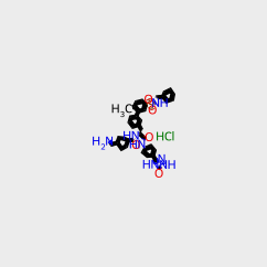 Cc1ccc(S(=O)(=O)NCc2ccccc2)cc1-c1cccc(C[C@H](NC(=O)C2CCC(CN)CC2)C(=O)Nc2ccc(-c3n[nH]c(=O)[nH]3)cc2)c1.Cl